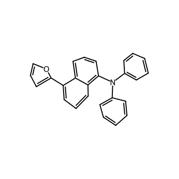 c1ccc(N(c2ccccc2)c2cccc3c(-c4ccco4)cccc23)cc1